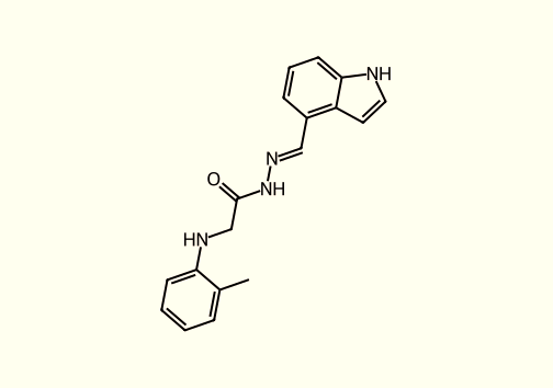 Cc1ccccc1NCC(=O)NN=Cc1cccc2[nH]ccc12